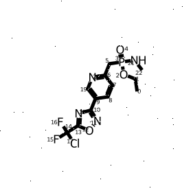 CCOP(=O)(Cc1ccc(-c2noc(C(F)(F)Cl)n2)cn1)NC